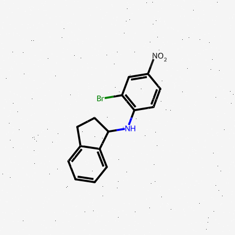 O=[N+]([O-])c1ccc(NC2CCc3ccccc32)c(Br)c1